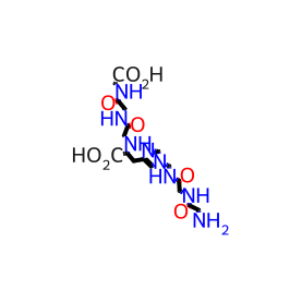 NCC(=O)NCC(=O)NCn1cnc(CC(NCC(=O)NCC(=O)NCC(=O)O)C(=O)O)c1